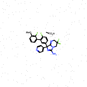 CC(=O)O.COc1cccc(-c2cc(C3(c4ccncc4)N=C(N)N4CC(F)(F)CN=C43)ccc2F)c1F